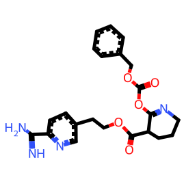 N=C(N)c1ccc(CCOC(=O)C2CCCN=C2OC(=O)OCc2ccccc2)cn1